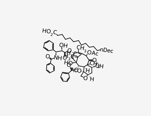 CC(=O)O[C@H]1C(=O)[C@@]2(C)[C@H]([C@H](OC(=O)c3ccccc3)[C@]3(O)C[C@H](OC(=O)[C@H](O)[C@@H](NC(=O)c4ccccc4)c4ccccc4)C(C)=C1C3(C)C)[C@]1(OC(C)=O)CO[C@@H]1C[C@@H]2O.CCCCCCCCCCCCCCCCCCCCCC(=O)O